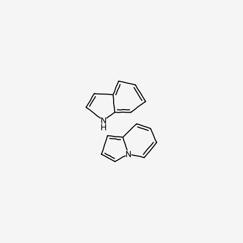 c1ccc2[nH]ccc2c1.c1ccn2cccc2c1